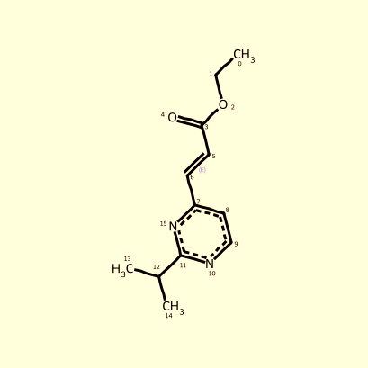 CCOC(=O)/C=C/c1ccnc(C(C)C)n1